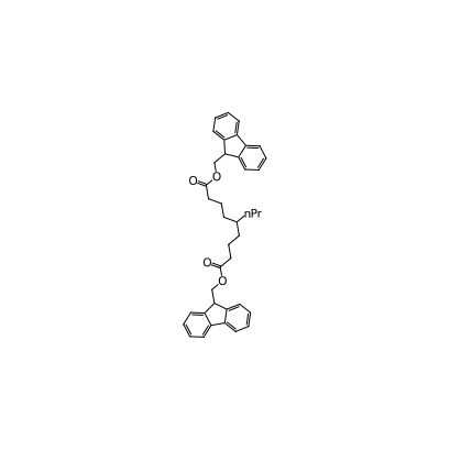 CCCC(CCCC(=O)OCC1c2ccccc2-c2ccccc21)CCCC(=O)OCC1c2ccccc2-c2ccccc21